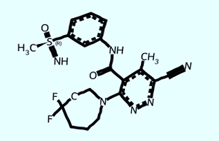 Cc1c(C#N)nnc(N2CCCC(F)(F)CC2)c1C(=O)Nc1cccc([S@](C)(=N)=O)c1